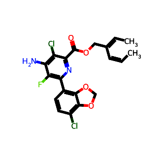 C/C=C\C(=C/C)COC(=O)c1nc(-c2ccc(Cl)c3c2OCO3)c(F)c(N)c1Cl